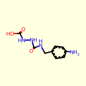 Nc1ccc(CNC(=O)NNC(=O)O)cc1